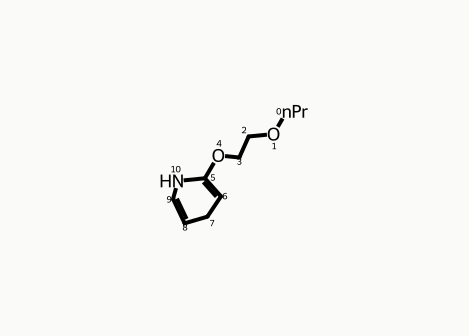 CCCOCCOC1=CCC=CN1